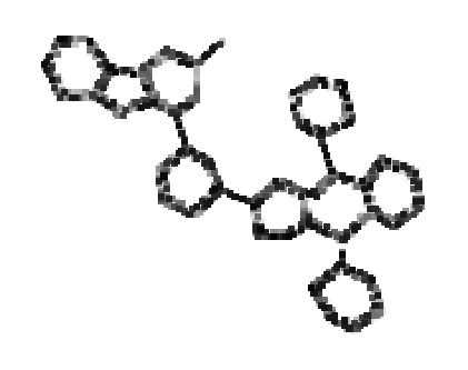 Cc1cc(-c2cccc(-c3ccc4c(-c5ccccc5)c5ccccc5c(-c5ccccc5)c4c3)c2)c2oc3ccccc3c2c1